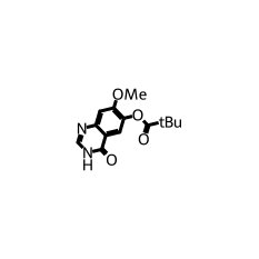 COc1cc2nc[nH]c(=O)c2cc1OC(=O)C(C)(C)C